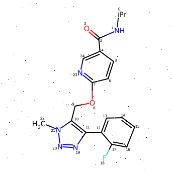 CC(C)NC(=O)c1ccc(OCc2c(-c3ccccc3F)nnn2C)nc1